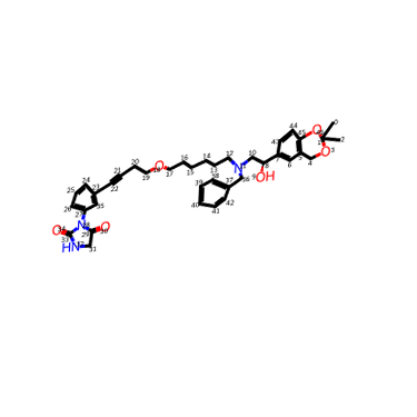 CC1(C)OCc2cc([C@@H](O)CN(CCCCCCOCCC#Cc3cccc(N4C(=O)CNC4=O)c3)Cc3ccccc3)ccc2O1